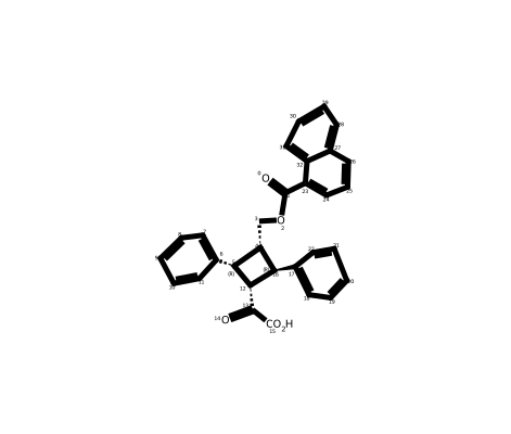 O=C(OC[C@H]1[C@@H](c2ccccc2)[C@@H](C(=O)C(=O)O)[C@@H]1c1ccccc1)c1cccc2ccccc12